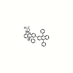 CCc1nc2cccc3c2n1-c1ccc(-c2ccc4c(-c5ccccc5)c5ccccc5c(-c5ccccc5)c4c2)cc1P3(=O)c1ccccc1